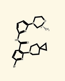 C[C@@H]1CN(c2cccc(NC(=O)c3ccc(Br)nc3N3CCC4(CC3)CC4)n2)CCO1